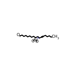 CCCCCC#C/C=C/C(CCCCCCC[C]=O)[N+](=O)[O-]